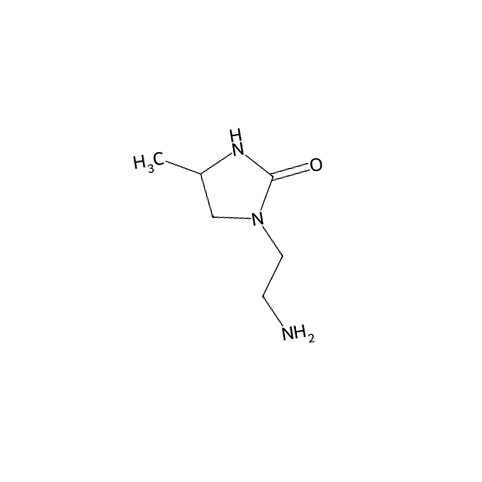 CC1CN(CCN)C(=O)N1